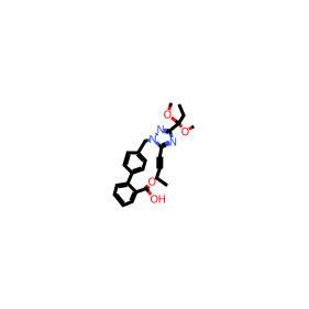 CCC#Cc1nc(C(CC)(OC)OC)nn1Cc1ccc(-c2ccccc2C(=O)O)cc1